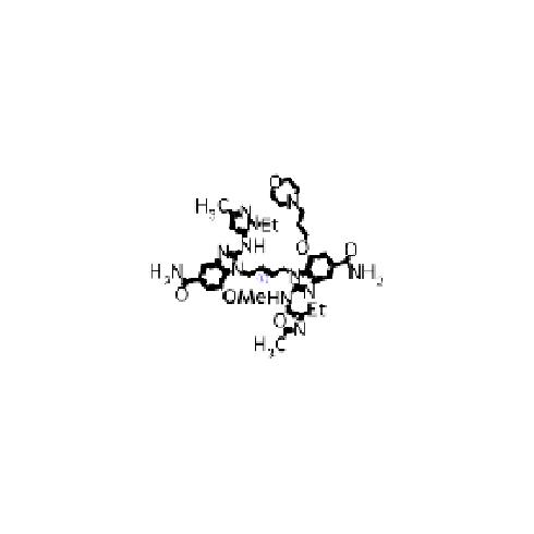 CCc1nc(C)oc1Nc1nc2cc(C(N)=O)cc(OCCCN3CCOCC3)c2n1C/C=C/Cn1c(Nc2cc(C)nn2CC)nc2cc(C(N)=O)cc(OC)c21